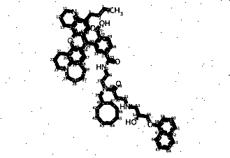 CCCCc1cc2c(c3c1=NCCC3)Oc1c(cc3c4c1CCCN4CCCC3)C=2c1cc(C(=O)NCCN(CC2CCCCCCC2)C(=O)CCNC[C@H](O)COc2cccc3ccccc23)ccc1C(=O)O